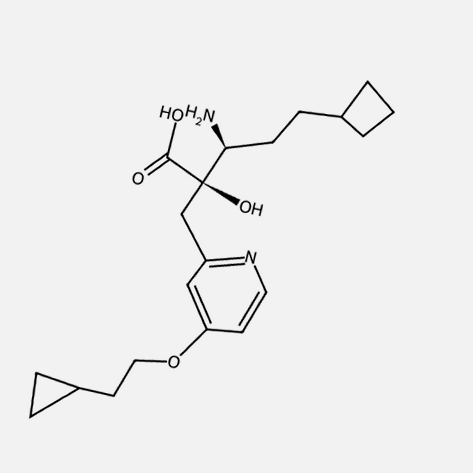 N[C@@H](CCC1CCC1)[C@](O)(Cc1cc(OCCC2CC2)ccn1)C(=O)O